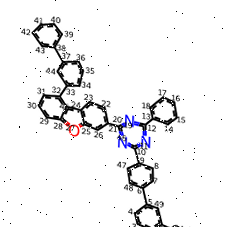 Cc1cccc(-c2ccc(-c3nc(-c4ccccc4)nc(-c4ccc5c(c4)oc4cccc(-c6cccc(-c7ccccc7)c6)c45)n3)cc2)c1